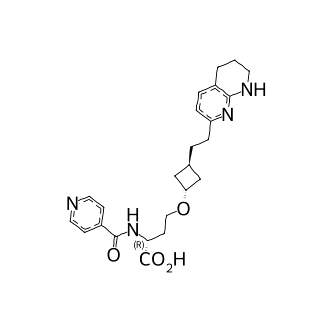 O=C(N[C@H](CCO[C@H]1C[C@H](CCc2ccc3c(n2)NCCC3)C1)C(=O)O)c1ccncc1